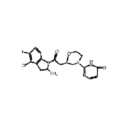 CC1Cc2c(ccc(F)c2Cl)N1C(=O)CC1CN(c2nccc(=O)[nH]2)CCO1